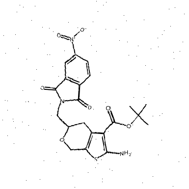 CC(C)(C)OC(=O)c1c(N)sc2c1CC(CN1C(=O)c3ccc([N+](=O)[O-])cc3C1=O)OC2